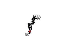 CC(C)c1c2cc(-c3nc(Nc4ccc5c(n4)CCN(C4CN(CC#N)C4)C5)ncc3F)ccc2nn1C